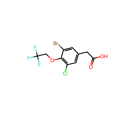 O=C(O)Cc1cc(Cl)c(OCC(F)(F)F)c(Br)c1